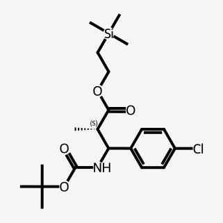 C[C@H](C(=O)OCC[Si](C)(C)C)C(NC(=O)OC(C)(C)C)c1ccc(Cl)cc1